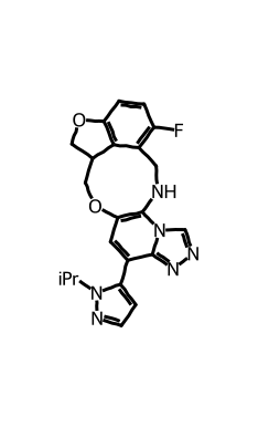 CC(C)n1nccc1-c1cc2c(n3cnnc13)NCc1c(F)ccc3c1C(CO3)CO2